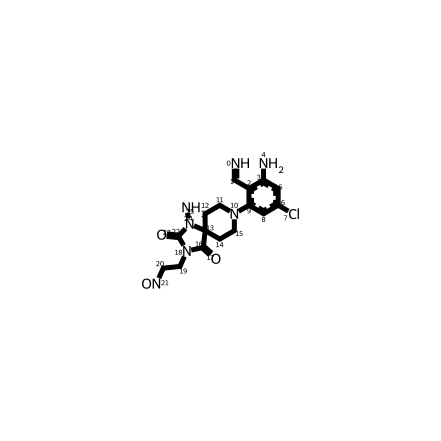 N=Cc1c(N)cc(Cl)cc1N1CCC2(CC1)C(=O)N(CCN=O)C(=O)N2N